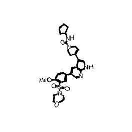 COc1ccc(-c2cnc3[nH]cc(C4=CCN(C(=O)NC5CCCC5)CC4)c3c2)cc1S(=O)(=O)N1CCOCC1